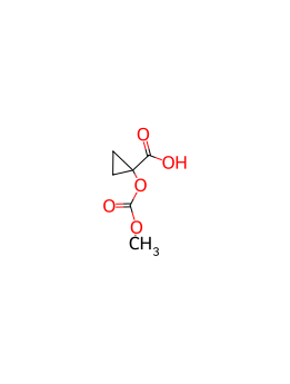 COC(=O)OC1(C(=O)O)CC1